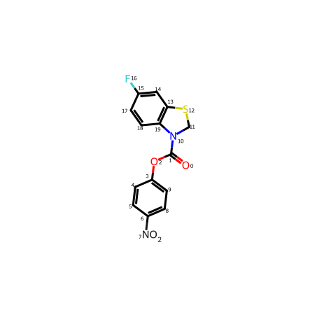 O=C(Oc1ccc([N+](=O)[O-])cc1)N1CSc2cc(F)ccc21